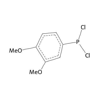 COc1ccc(P(Cl)Cl)cc1OC